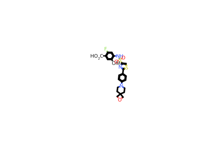 COc1cc(C(=O)O)c(F)cc1NS(=O)(=O)c1csc(-c2ccc(N3CCC4(CC3)COC4)cc2)n1